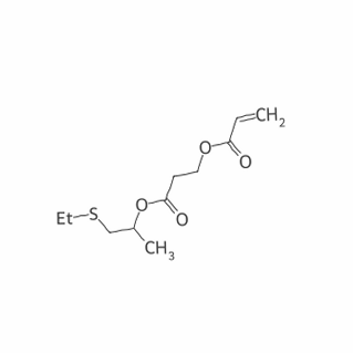 C=CC(=O)OCCC(=O)OC(C)CSCC